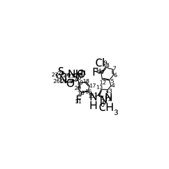 Cn1nc(Cc2ccc(Cl)c(F)c2)cc1Nc1ccc(S(=O)(=O)Nc2nccs2)cc1F